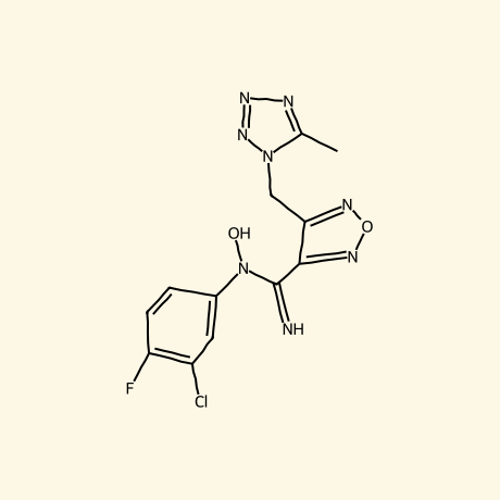 Cc1nnnn1Cc1nonc1C(=N)N(O)c1ccc(F)c(Cl)c1